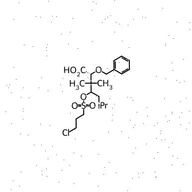 CC(C)CC(OS(=O)(=O)CCCCl)C(C)(C)[C@@H](OCc1ccccc1)C(=O)O